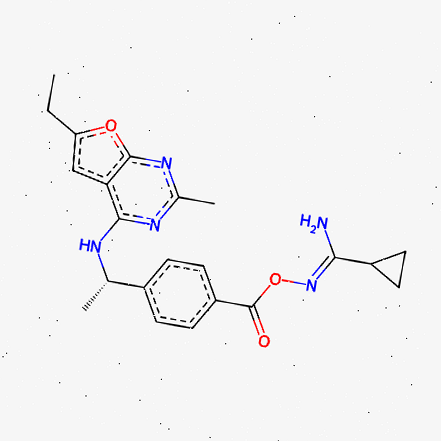 CCc1cc2c(N[C@@H](C)c3ccc(C(=O)O/N=C(\N)C4CC4)cc3)nc(C)nc2o1